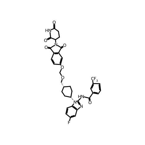 O=C1CCC(N2C(=O)c3ccc(OCOC[C@H]4CC[C@@H](n5c(NC(=O)c6cccc(C(F)(F)F)c6)nc6cc(F)ccc65)CC4)cc3C2=O)C(=O)N1